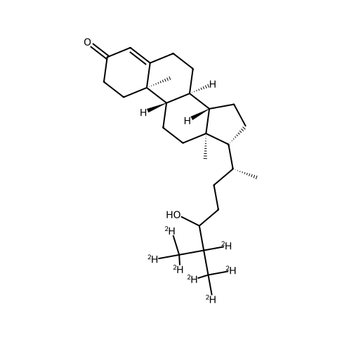 [2H]C([2H])([2H])C([2H])(C(O)CC[C@@H](C)[C@H]1CC[C@H]2[C@@H]3CCC4=CC(=O)CC[C@]4(C)[C@H]3CC[C@]12C)C([2H])([2H])[2H]